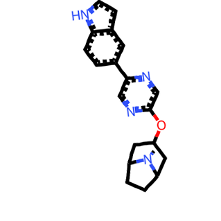 CN1C2CCC1CC(Oc1cnc(-c3ccc4[nH]ccc4c3)cn1)C2